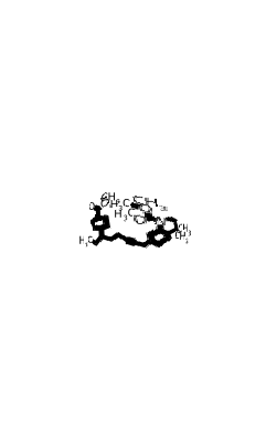 CCC(CCC#CCc1ccc2c(c1)N(C(=O)OC(C)(C)C)CCC2(C)C)c1ccc(C(=O)OC)cc1